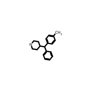 Cc1ccc(C(c2ccccc2)C2CC[N]CC2)cc1